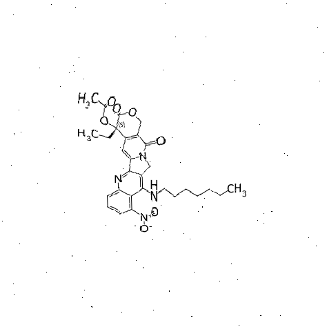 CCCCCCCNc1c2c(nc3cccc([N+](=O)[O-])c13)-c1cc3c(c(=O)n1C2)COC(=O)[C@@]3(CC)OC(C)=O